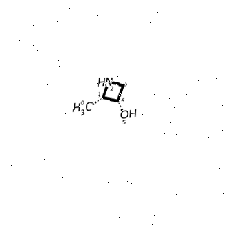 C[C@@H]1NC[C@@H]1O